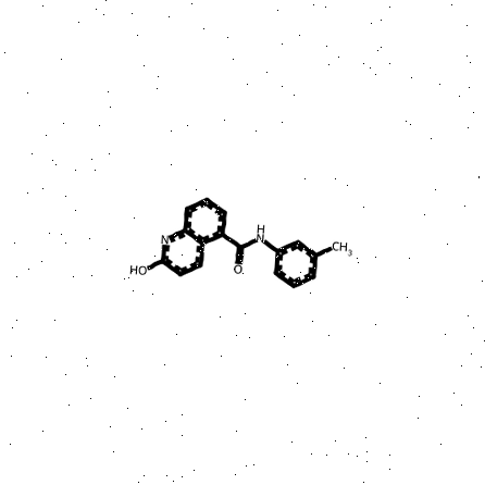 Cc1cccc(NC(=O)c2cccc3nc(O)ccc23)c1